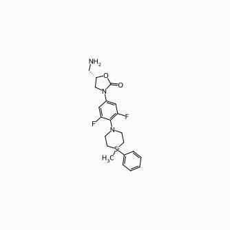 C[Si]1(c2ccccc2)CCN(c2c(F)cc(N3C[C@H](CN)OC3=O)cc2F)CC1